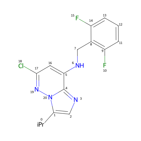 CC(C)c1cnc2c(NCc3c(F)cccc3F)cc(Cl)nn12